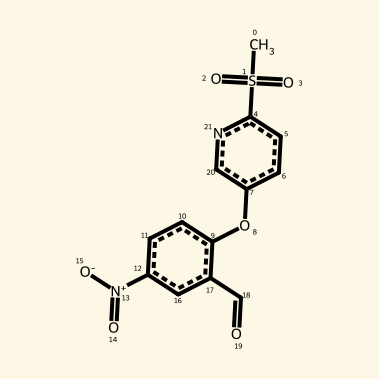 CS(=O)(=O)c1ccc(Oc2ccc([N+](=O)[O-])cc2C=O)cn1